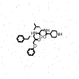 CC(C)C[C@H](NC(=O)C1CCNCC1)C(=O)N[C@@H](CCc1ccccc1)C(=O)COc1ccccc1